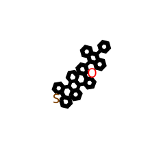 C1=CC2=C(c3cccc4oc5c(-c6c7ccccc7c(-c7ccccc7)c7ccccc67)cccc5c34)c3ccccc3C(c3cccc4sc5ccccc5c34)C2C=C1